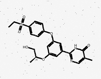 CCS(=O)(=O)c1ccc(Oc2cc(O[C@@H](C)CO)cc(-c3ncc(C)c(=O)[nH]3)c2)cc1